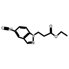 [C-]#[N+]c1ccc2c(cnn2CCC(=O)OCC)c1